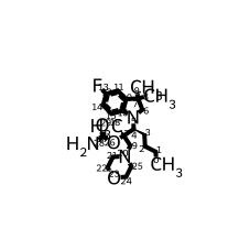 CCCC[C@H](N1CC(C)(C)c2cc(F)ccc21)[C@](C)(CN1CCOCC1)OC(N)=O